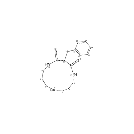 O=C1NCCCNCCCNC(=O)C1Cc1ccccc1